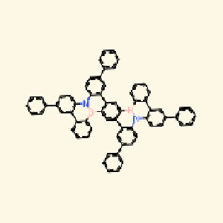 c1ccc(-c2ccc3c(c2)-c2ccccc2B2c4cc5c(cc4-c4cc(-c6ccccc6)ccc4N23)B2c3ccccc3-c3cc(-c4ccccc4)ccc3N2c2ccc(-c3ccccc3)cc2-5)cc1